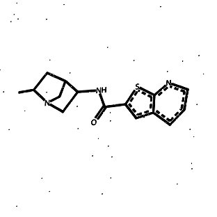 CC1CC2CN1CC2NC(=O)c1cc2cccnc2s1